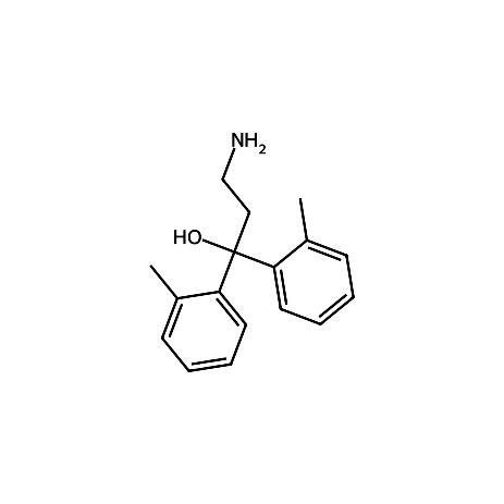 Cc1ccccc1C(O)(CCN)c1ccccc1C